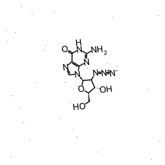 [N-]=[N+]=NC1[C@H](n2cnc3c(=O)[nH]c(N)nc32)O[C@H](CO)[C@H]1O